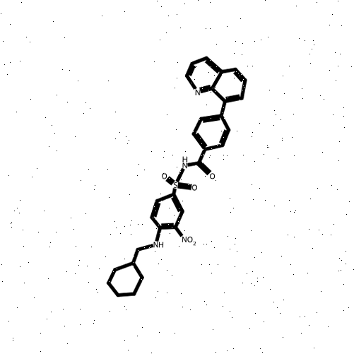 O=C(NS(=O)(=O)c1ccc(NCC2CCCCC2)c([N+](=O)[O-])c1)c1ccc(-c2cccc3cccnc23)cc1